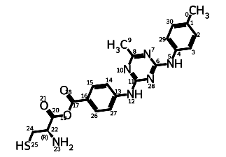 Cc1ccc(Nc2nc(C)nc(Nc3ccc(C(=O)OC(=O)[C@@H](N)CS)cc3)n2)cc1